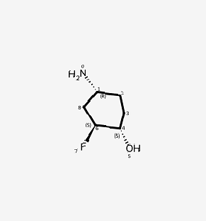 N[C@@H]1CC[C@H](O)[C@@H](F)C1